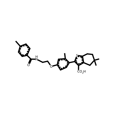 Cc1ccc(C(=O)NCCOc2ccc(-c3sc4c(c3C(=O)O)CC(C)(C)CC4)c(C)c2)cc1